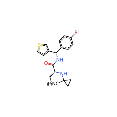 CC(C)C[C@H](NC1(C#N)CC1)C(=O)N[C@@H](c1ccc(Br)cc1)c1ccsc1